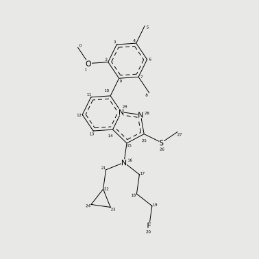 COc1cc(C)cc(C)c1-c1cccc2c(N(CCCF)CC3CC3)c(SC)nn12